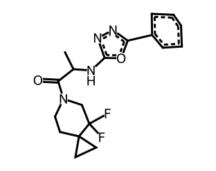 CC(Nc1nnc(-c2ccccc2)o1)C(=O)N1CCC2(CC2)C(F)(F)C1